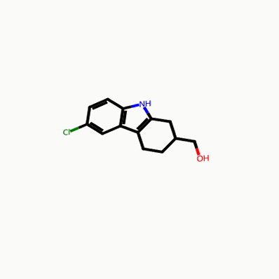 OCC1CCc2c([nH]c3ccc(Cl)cc23)C1